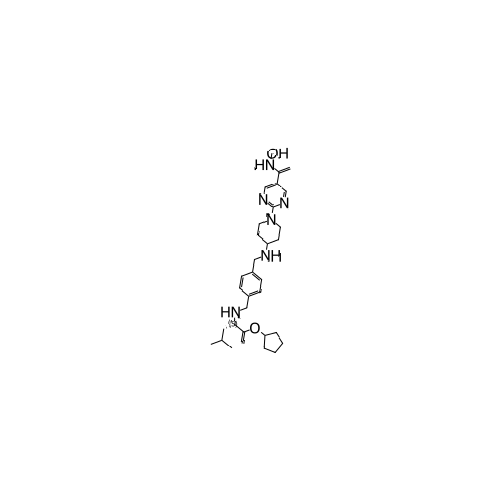 C=C(NO)c1cnc(N2CCC(NCc3ccc(CN[C@@H](CC(C)C)C(=C)OC4CCCC4)cc3)CC2)nc1